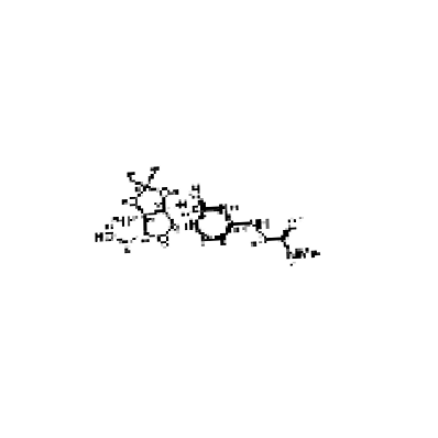 CNC(=O)ONc1ccn([C@@H]2O[C@H](CO)[C@H]3OC(C)(C)O[C@H]32)c(=O)n1